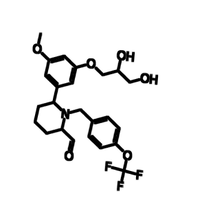 COc1cc(OCC(O)CO)cc(C2CCCC(C=O)N2Cc2ccc(OC(F)(F)F)cc2)c1